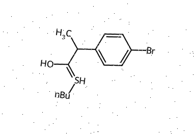 CCCC[SH]=C(O)C(C)c1ccc(Br)cc1